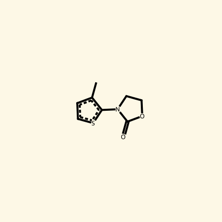 Cc1ccsc1N1CCOC1=O